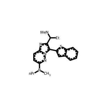 CCCN(C)c1ccc2nc(C(CC)NC)c(-c3cc4ccccc4s3)n2n1